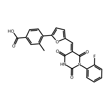 Cc1cc(C(=O)O)ccc1-c1ccc(C=C2C(=O)NC(=O)N(c3ccccc3F)C2=O)o1